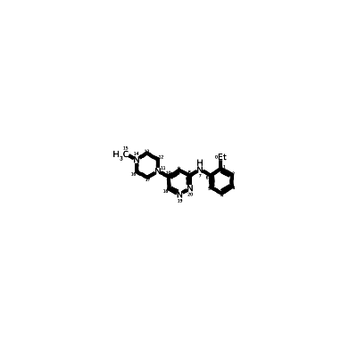 CCc1ccccc1Nc1cc(N2CCN(C)CC2)cnn1